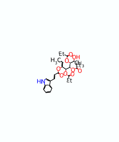 C/C=C(\OC(=O)/C=C/c1c[nH]c2ccccc12)[C@H](OC(=O)CC)[C@H](OC(=O)CC)[C@@H](OC(=O)CC)[C@H](C)O